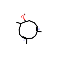 COC1CC/C=C(/C)CC/C(C)=C\CCC1C